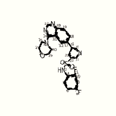 O=S(=O)(Nc1ccc(F)cc1F)c1cncc(-c2ccc3ncnc(N4CCOCC4)c3c2)c1